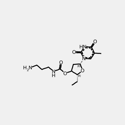 CC[C@H]1O[C@@H](n2cc(C)c(=O)[nH]c2=O)CC1OC(=O)NCCCN